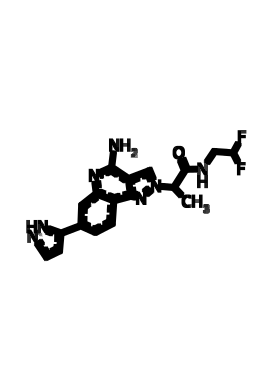 CC(C(=O)NCC(F)F)n1cc2c(N)nc3cc(-c4ccn[nH]4)ccc3c2n1